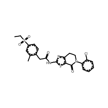 CCS(=O)(=O)c1ccc(CC(=O)Nc2nc3c(s2)C(=O)N(c2ccccc2Cl)CC3)c(C)c1